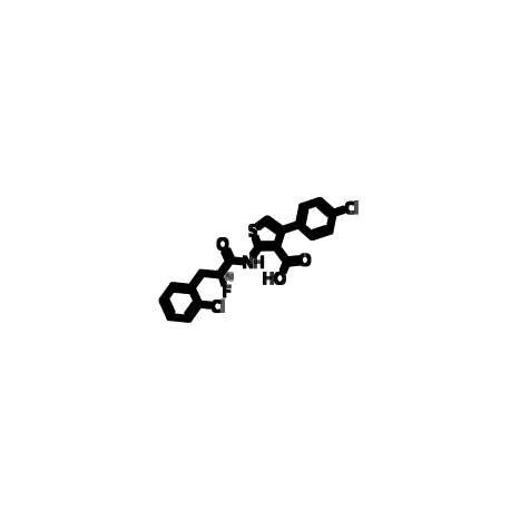 O=C(O)c1c(-c2ccc(Cl)cc2)csc1NC(=O)[C@@H](F)Cc1ccccc1Cl